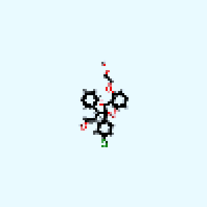 COCCOc1cccc2c1C(=O)C(c1ccc(Cl)cc1)(C(CC=O)c1ccccc1)O2